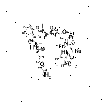 CCCO[C@H](C[C@H](C(C)C)N(CCC)C(=O)[C@@H](NC(=O)[C@H]1CCCCN1C)[C@@H](C)CC)c1nc(C(=O)N[C@H]2Cc3ccccc3[C@H](C(=O)NNC(=O)OCCOCCN)C2)cs1